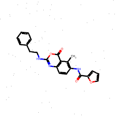 Cc1c(NC(=O)c2ccco2)ccc2nc(NCCc3ccccc3)oc(=O)c12